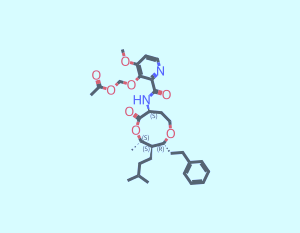 COc1ccnc(C(=O)N[C@H]2CCO[C@H](CCc3ccccc3)[C@@H](CCC(C)C)[C@H](C)OC2=O)c1OCOC(C)=O